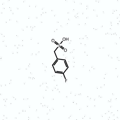 O=S(=O)(O)Cc1ccc(F)cc1